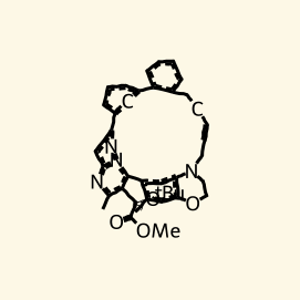 COC(=O)[C@@H](OC(C)(C)C)c1c(C)nc2cc3nn2c1-c1cc2c(cc1C)OCCN2CC=CCCc1ccccc1-c1cccc-3c1